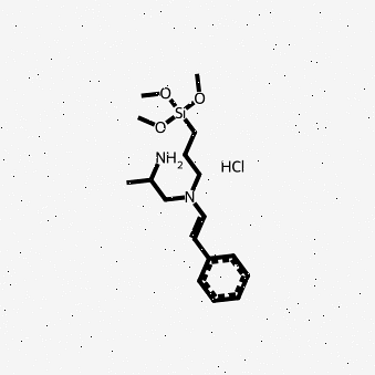 CO[Si](CCCN(C=Cc1ccccc1)CC(C)N)(OC)OC.Cl